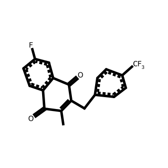 CC1=C(Cc2ccc(C(F)(F)F)cc2)C(=O)c2cc(F)ccc2C1=O